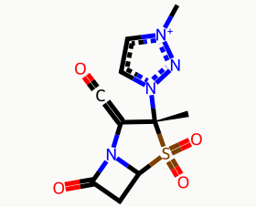 C[n+]1ccn([C@@]2(C)C(=C=O)N3C(=O)CC3S2(=O)=O)n1